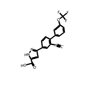 [C-]#[N+]c1cc(-c2cc(C(=O)O)[nH]n2)ccc1-c1cccc(OC(F)(F)F)c1